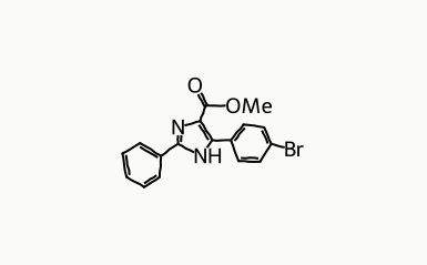 COC(=O)c1nc(-c2ccccc2)[nH]c1-c1ccc(Br)cc1